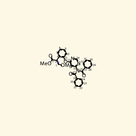 CO/C=C(/C(=O)OC)c1ccccc1Oc1cc(N(C(=O)c2ccccc2)C(=O)c2ccccc2)ncn1